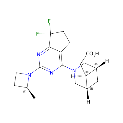 C[C@H]1CCN1c1nc(N2C[C@H]3C[C@@H](C2)[C@@H]3CC(=O)O)c2c(n1)C(F)(F)CC2